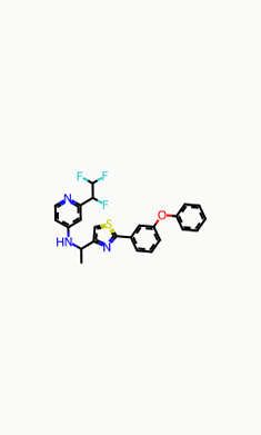 CC(Nc1ccnc(C(F)C(F)F)c1)c1csc(-c2cccc(Oc3ccccc3)c2)n1